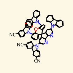 N#Cc1ccc2c(c1)c1cc(C#N)ccc1n2-c1cnc2c(c1)C1(c3cc(-n4c5ccccc5c5ccccc54)cnc3-2)c2cccc(-n3c4ccccc4c4ccccc43)c2Oc2c(-n3c4ccccc4c4cc(C#N)ccc43)cccc21